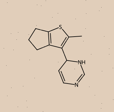 Cc1sc2c(c1C1C=CN=CN1)CCC2